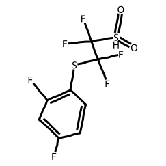 O=[SH](=O)C(F)(F)C(F)(F)Sc1ccc(F)cc1F